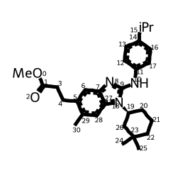 COC(=O)CCc1cc2nc(Nc3ccc(C(C)C)cc3)n([C@H]3CCCC(C)(C)C3)c2cc1C